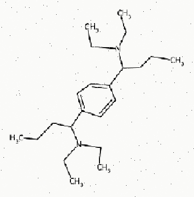 CCCC(c1ccc(C(CCC)N(CC)CC)cc1)N(CC)CC